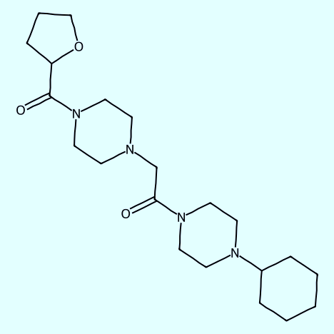 O=C(CN1CCN(C(=O)C2CCCO2)CC1)N1CCN(C2CCCCC2)CC1